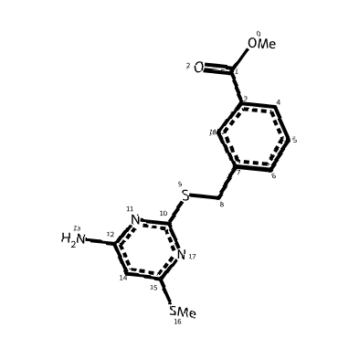 COC(=O)c1cccc(CSc2nc(N)cc(SC)n2)c1